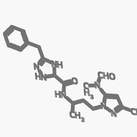 Cc1cc(N(C)C=O)n(CCC(C)NC(=O)C2NN=C(Cc3ccccc3)N2)n1